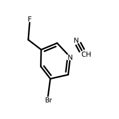 C#N.FCc1cncc(Br)c1